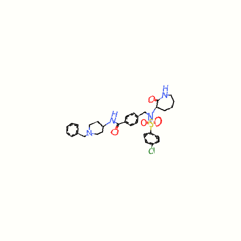 O=C(NC1CCN(Cc2ccccc2)CC1)c1ccc(CN([C@@H]2CCCCNC2=O)S(=O)(=O)c2ccc(Cl)cc2)cc1